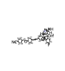 CC(N/C=N\N=N)C(O)(c1ccc(F)cc1F)C(F)(F)c1ccc(C#CC2=CCC(OCc3ccc(C#N)cc3)C=C2)cn1